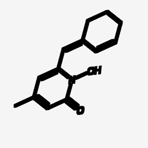 Cc1cc(C=C2C=CCCC2)n(O)c(=O)c1